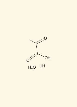 CC(=O)C(=O)O.O.[LiH]